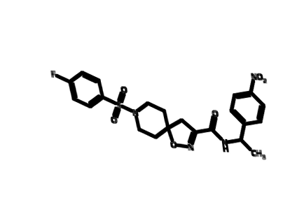 CC(NC(=O)C1=NOC2(CCN(S(=O)(=O)c3ccc(F)cc3)CC2)C1)c1ccc([N+](=O)[O-])cc1